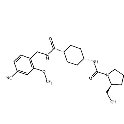 N#Cc1ccc(CNC(=O)[C@H]2CC[C@@H](NC(=O)N3CCC[C@H]3CO)CC2)c(OC(F)(F)F)c1